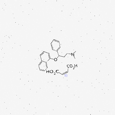 CN(C)CCC(Oc1cccc2ccccc12)c1ccccc1.O=C(O)/C=C\C(=O)O